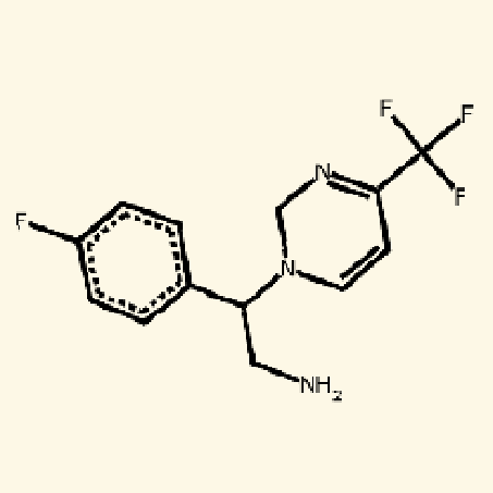 NCC(c1ccc(F)cc1)N1C=CC(C(F)(F)F)=NC1